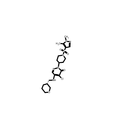 Cc1c(S(=O)(=O)N2CCC(n3ncc(NC[C@H]4CCCOC4)c(Cl)c3=O)CC2)cnn1C